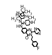 C[C@@H]1C(/N=C(/Nc2ccc3c(=O)n(CCc4ccc(F)cc4)c(-c4cnccn4)nc3c2)N2CCN[C@@H](C)C2)C[C@H]2C[C@@H]1C2(C)C